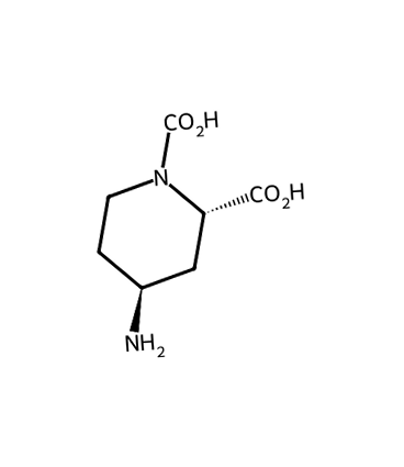 N[C@H]1CCN(C(=O)O)[C@H](C(=O)O)C1